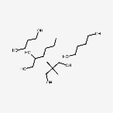 CC(C)(CO)CO.CCCCC(O)CO.OCCCCO.OCCCO